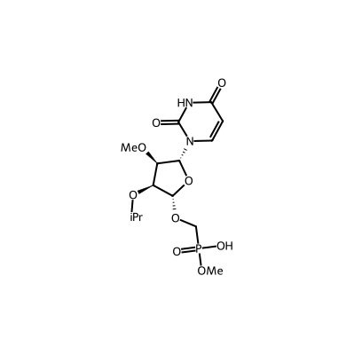 CO[C@@H]1[C@H](OC(C)C)[C@@H](OCP(=O)(O)OC)O[C@H]1n1ccc(=O)[nH]c1=O